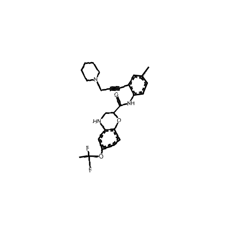 Cc1ccc(NC(=O)C2CNc3cc(OC(C)(F)F)ccc3O2)c(C#CCN2CCCCC2)c1